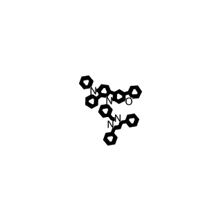 c1ccc(-c2cc(-c3ccccc3)nc(-c3cccc(-n4c5cc6oc7ccccc7c6cc5c5ccc6c(c7ccccc7n6-c6ccccc6)c54)c3)n2)cc1